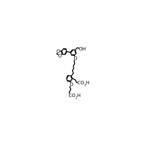 O=C(O)CCCOc1cccc(CCCCCCOc2cc(CO)cc(-c3ccc4c(c3)OCO4)c2)c1CCC(=O)O